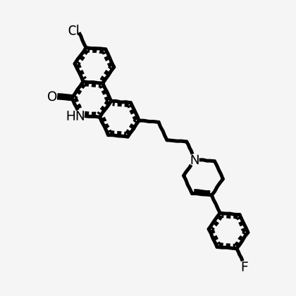 O=c1[nH]c2ccc(CCCN3CC=C(c4ccc(F)cc4)CC3)cc2c2ccc(Cl)cc12